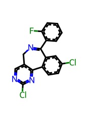 Fc1ccccc1C1=NCc2cnc(Cl)nc2-c2ccc(Cl)cc21